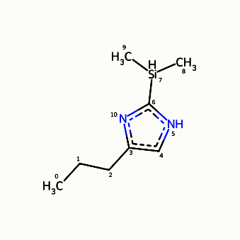 CCCc1c[nH]c([SiH](C)C)n1